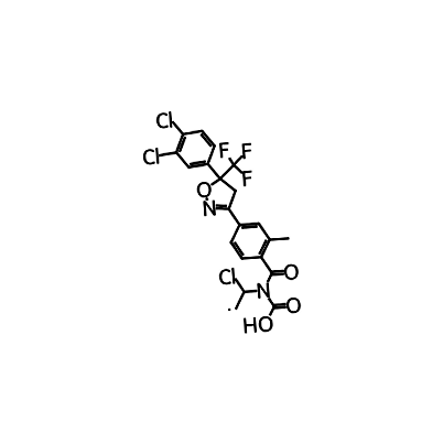 [CH2]C(Cl)N(C(=O)O)C(=O)c1ccc(C2=NOC(c3ccc(Cl)c(Cl)c3)(C(F)(F)F)C2)cc1C